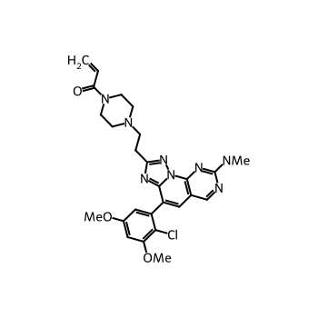 C=CC(=O)N1CCN(CCc2nc3c(-c4cc(OC)cc(OC)c4Cl)cc4cnc(NC)nc4n3n2)CC1